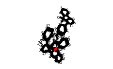 CC1(C)c2ccccc2-c2cccc(-c3ccc(N(c4cccc5ccccc45)c4cccc5sc6ccc7c8cc9ccccc9cc8oc7c6c45)cc3)c21